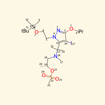 CC(C)Oc1nn(CCO[Si](C)(C)C(C)(C)C)c(C(C)(C)N(C)C[C@@H](C)OS(C)(=O)=O)c1I